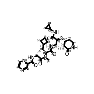 C[C@@H](NC(=O)c1cnccn1)C(=O)N(C)[C@@H](CC1CCC1)C(=O)N[C@@H](C[C@@H]1CCCNC1=O)C(=O)C(=O)NC1CC1